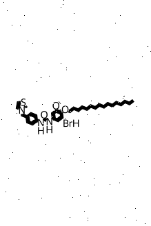 Br.CCCCCCCCCCCCCCCCOc1ccc(NC(=O)Nc2ccc(CN3C=CSC3)cc2)cc1OC